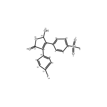 CS(=O)(=O)c1ccc(C2=C(c3ccc(F)cc3)C(=O)OC2O)cc1